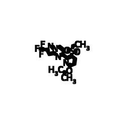 CCS(=O)(=O)c1ccc(OC(C)C)nc1-c1ccn2nc(C(F)(F)F)cc2n1